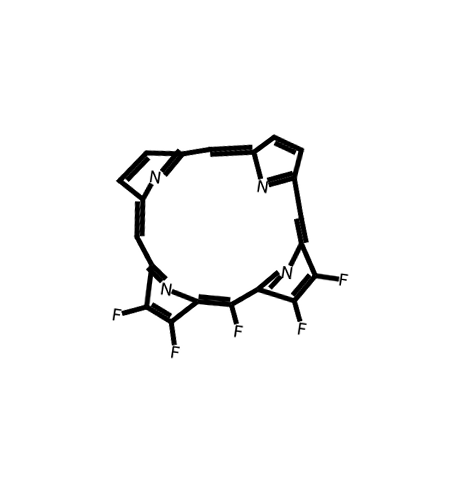 FC1=C(F)C2=NC1=CC1=NC(=CC3=NC(=CC4=NC(=C2F)C(F)=C4F)C=C3)C=C1